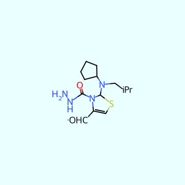 CC(C)CN(C1CCCC1)C1SC=C([C]=O)N1C(=O)NN